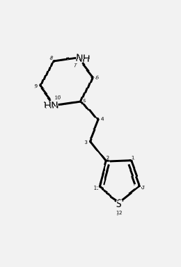 c1cc(CCC2CNCCN2)cs1